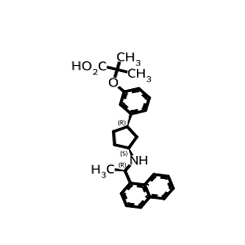 C[C@@H](N[C@H]1CC[C@@H](c2cccc(OC(C)(C)C(=O)O)c2)C1)c1cccc2ccccc12